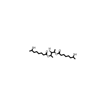 CC(S)CCCCCC(=O)OC(C)C(S)C(C)OC(=O)CCCCCC(C)S